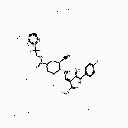 CC(C)(COC(=O)N1CC[C@@H](N/C=C(\C(=N)Nc2ccc(F)cc2)C(N)=O)[C@H](C#N)C1)n1cccn1